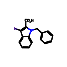 O=C(O)c1c(I)c2ccccc2n1Cc1ccccc1